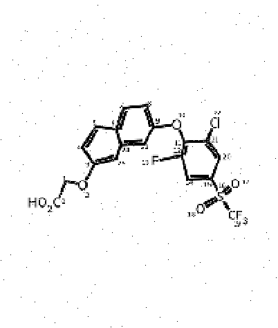 O=C(O)COc1ccc2ccc(Oc3c(F)cc(S(=O)(=O)C(F)(F)F)cc3Cl)cc2c1